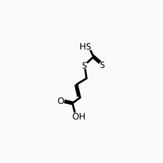 O=C(O)C=CCSC(=S)S